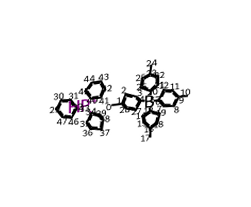 Cc1ccc([B-](c2ccc(C)cc2)(c2ccc(C)cc2)c2ccc(C)cc2)cc1.c1ccc([PH+](c2ccccc2)c2ccccc2)cc1